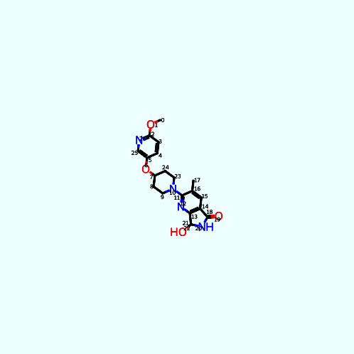 COc1ccc(OC2CCN(c3nc4c(cc3C)C(=O)NC4O)CC2)cn1